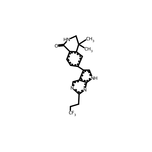 CC1(C)CNC(=O)c2ccc(-c3c[nH]c4nc(CCC(F)(F)F)ncc34)cc21